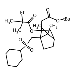 CCC(C)(C)C(=O)OC1(CC(=O)OC(C)(C)C)CC2CCC1(CS(=O)(=O)C1CCCCC1)C2(C)C